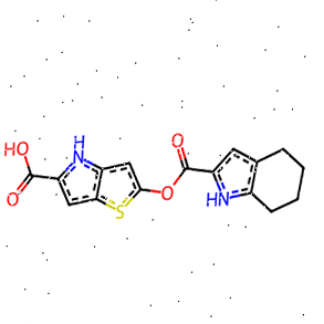 O=C(O)c1cc2sc(OC(=O)c3cc4c([nH]3)CCCC4)cc2[nH]1